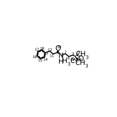 CS(C)(C)(=O)CCCNC(=O)CCc1ccccc1